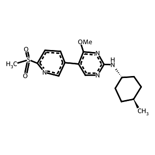 COc1nc(N[C@H]2CC[C@H](C)CC2)ncc1-c1ccc(S(C)(=O)=O)nc1